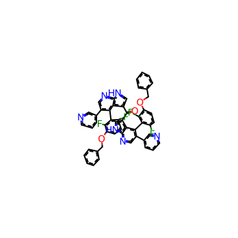 O=C(c1c[nH]c2ncc(-c3cccnc3)c(-c3c(F)ccc(OCc4ccccc4)c3F)c12)c1c[nH]c2ncc(-c3cccnc3)c(-c3c(F)ccc(OCc4ccccc4)c3F)c12